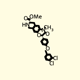 COC(=O)[C@@H]1Cc2cc3c(cc2CN1)O[C@@H](c1ccc(OCc2ccc(Cl)c(Cl)c2)cc1)C(=O)N3C